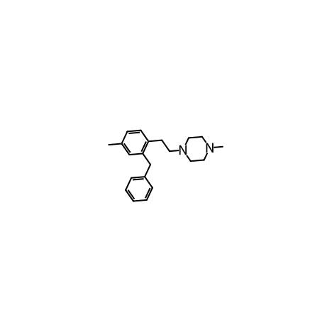 Cc1ccc(CCN2CCN(C)CC2)c(Cc2ccccc2)c1